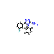 Nc1nnc(-c2cccc(F)c2)n1-c1ccccc1